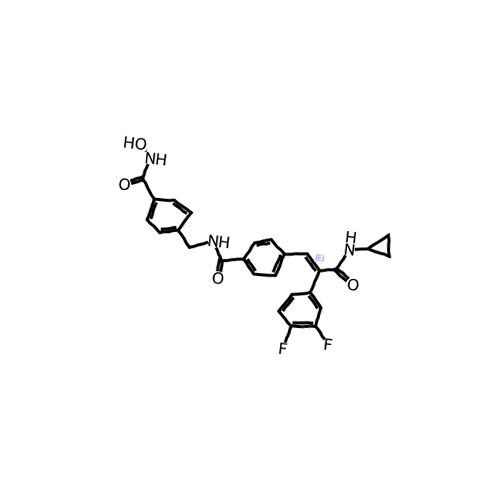 O=C(NC1CC1)/C(=C/c1ccc(C(=O)NCc2ccc(C(=O)NO)cc2)cc1)c1ccc(F)c(F)c1